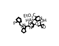 CCOC(=O)c1cnccc1[AsH]c1nc(-c2nn(Cc3ccccc3F)c3c2CCC3)ncc1OCC1(CO)COC1